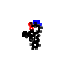 CC(C)C[C@@H]1[C@@H](CCCc2ccccc2)CCC[C@H](N)C(=O)O[C@H]1C